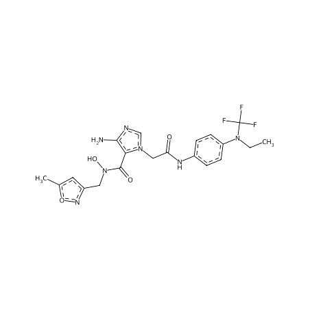 CCN(c1ccc(NC(=O)Cn2cnc(N)c2C(=O)N(O)Cc2cc(C)on2)cc1)C(F)(F)F